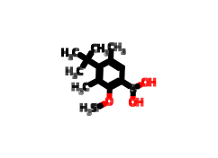 Cc1cc(B(O)O)c(O[SiH3])c(C)c1C(C)(C)C